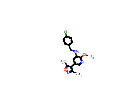 COc1ncc(-c2c(C)noc2C)cc1NCc1ccc(Cl)cc1